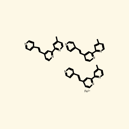 Cc1ccnc(-c2cc(C=Cc3ccncc3)ccn2)c1.Cc1ccnc(-c2cc(C=Cc3ccncc3)ccn2)c1.Cc1ccnc(-c2cc(C=Cc3ccncc3)ccn2)c1.[Fe+2]